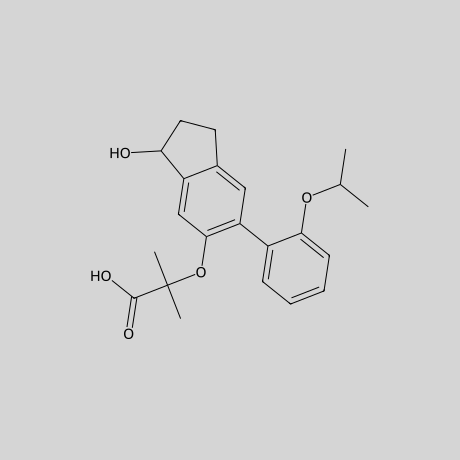 CC(C)Oc1ccccc1-c1cc2c(cc1OC(C)(C)C(=O)O)C(O)CC2